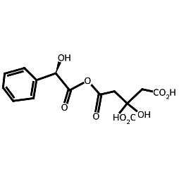 O=C(O)CC(O)(CC(=O)OC(=O)[C@H](O)c1ccccc1)C(=O)O